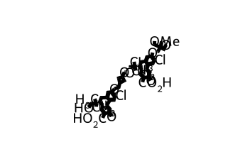 COCC1(COc2cc3c(cc2Cl)-c2cc(=O)c(C(=O)O)cn2[C@H](C(C)(C)COOC2CC(COc4cc5c(cc4Cl)-c4cc(=O)c(C(=O)O)cn4[C@H](C(C)(C)CO)C5)C2)C3)COC1